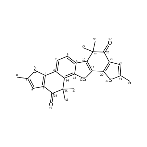 Cc1cc2c(s1)-c1ccc3c4c(sc3c1C(C)(C)C2=O)-c1sc(C)cc1C(=O)C4(C)C